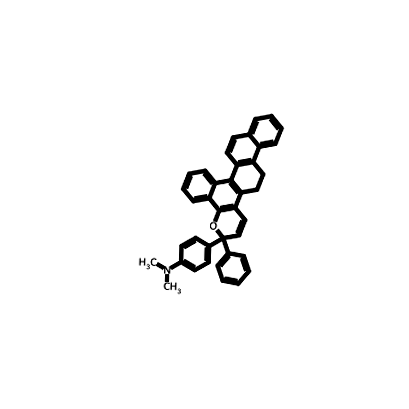 CN(C)c1ccc(C2(c3ccccc3)C=Cc3c4c(c5ccccc5c3O2)-c2ccc3ccccc3c2CC4)cc1